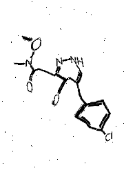 CON(C)C(=O)c1n[nH]cc(-c2ccc(Cl)cc2)c1=O